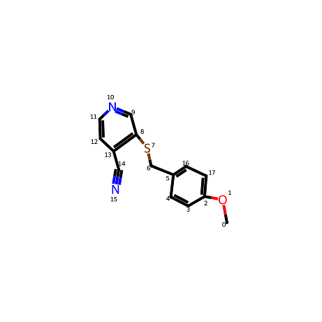 COc1ccc(CSc2cnccc2C#N)cc1